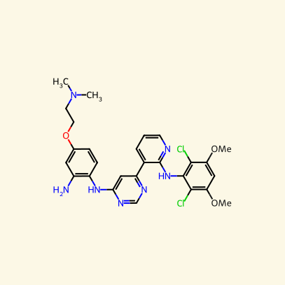 COc1cc(OC)c(Cl)c(Nc2ncccc2-c2cc(Nc3ccc(OCCN(C)C)cc3N)ncn2)c1Cl